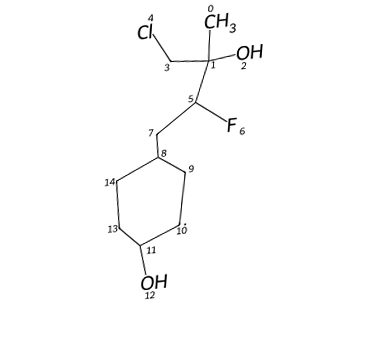 CC(O)(CCl)C(F)CC1C[CH]C(O)CC1